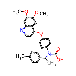 COc1cc2nccc(Oc3ccc(N(C(=O)O)C(C)c4ccc(C)cc4)cc3)c2cc1OC